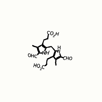 Cc1c(C=O)[nH]c(Cc2[nH]c(C=O)c(C)c2CCC(=O)O)c1CCC(=O)O